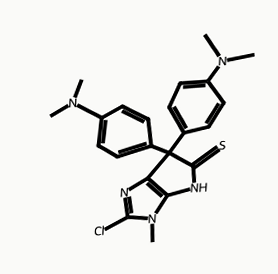 CN(C)c1ccc(C2(c3ccc(N(C)C)cc3)C(=S)Nc3c2nc(Cl)n3C)cc1